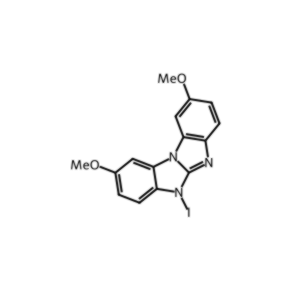 COc1ccc2nc3n(I)c4ccc(OC)cc4n3c2c1